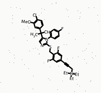 CC[N+](CC)(CC)CC#Cc1cc(F)c(CSc2ncc(C(C)(C)c3ccc(Cl)c(OC)c3)n2-c2ccc(F)cc2)c(F)c1